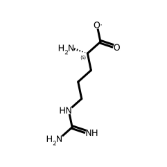 N=C(N)NCCC[C@H](N)C([O])=O